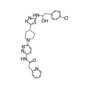 O=C(Cc1ccccn1)Nc1ccc(N2CCC(c3nnc(NC(O)Cc4ccc(Cl)cc4)s3)CC2)nn1